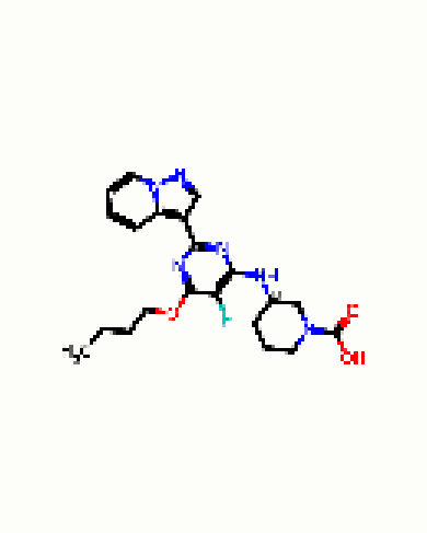 CCCCOc1nc(-c2cnn3ccccc23)nc(N[C@@H]2CCCN(C(=O)O)C2)c1F